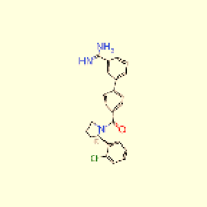 N=C(N)c1cccc(-c2ccc(C(=O)N3CCC[C@@H]3c3ccccc3Cl)cc2)c1